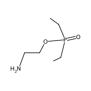 CCP(=O)(CC)OCCN